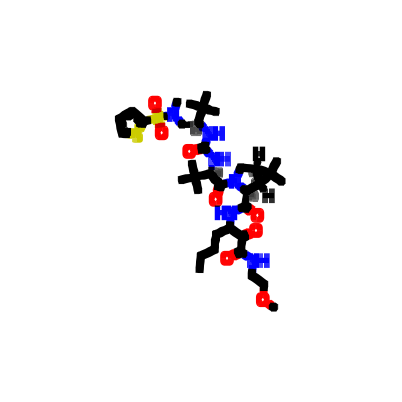 CCCCC(NC(=O)[C@@H]1[C@@H]2[C@H](CN1C(=O)[C@@H](NC(=O)N[C@H](CN(C)S(=O)(=O)c1cccs1)C(C)(C)C)C(C)(C)C)C2(C)C)C(=O)C(=O)NCCOC